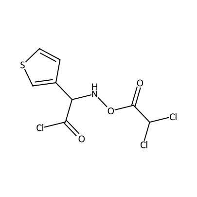 O=C(ONC(C(=O)Cl)c1ccsc1)C(Cl)Cl